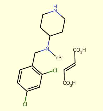 CCCN(Cc1ccc(Cl)cc1Cl)C1CCNCC1.O=C(O)C=CC(=O)O